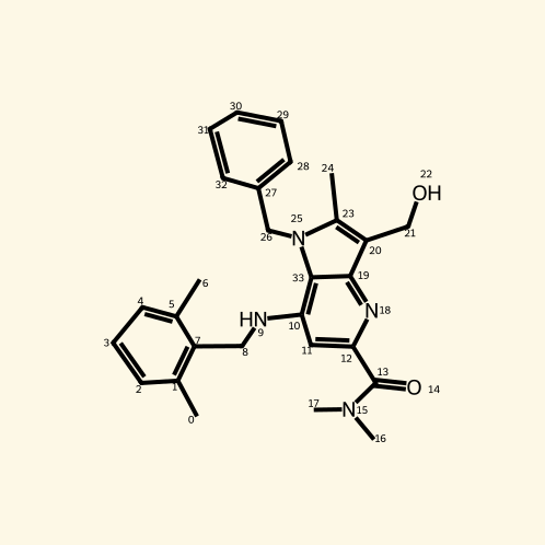 Cc1cccc(C)c1CNc1cc(C(=O)N(C)C)nc2c(CO)c(C)n(Cc3ccccc3)c12